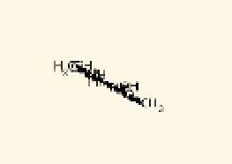 CCCCOCC(O)CNCCNCCNCCC[SiH2]C